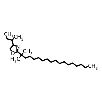 CCCCCCCCCCCCCCCCC(C)(C)C1=NC(C(C)CC)CO1